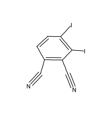 N#Cc1ccc(I)c(I)c1C#N